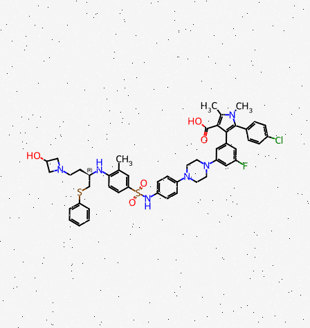 Cc1cc(S(=O)(=O)Nc2ccc(N3CCN(c4cc(F)cc(-c5c(C(=O)O)c(C)n(C)c5-c5ccc(Cl)cc5)c4)CC3)cc2)ccc1N[C@H](CCN1CC(O)C1)CSc1ccccc1